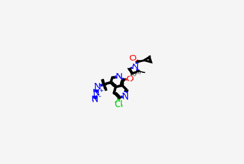 C[C@H]1[C@H](Oc2ncc(C(C)(C)N=[N+]=[N-])c3cc(Cl)ncc23)CN1C(=O)C1CC1